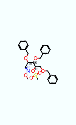 CO/N=C/[C@@H](OCc1ccccc1)[C@H](OCc1ccccc1)[C@@H](COCc1ccccc1)OS(C)(=O)=O